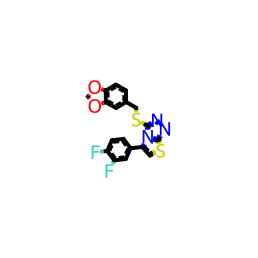 Fc1ccc(-c2csc3nnc(SCc4ccc5c(c4)OCO5)n23)cc1F